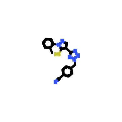 Cc1ccccc1-n1ncc(-c2nnn(Cc3ccc(C#N)cc3)n2)c1S